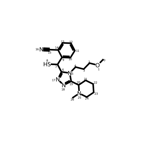 COCCCn1c(C(S)c2ccccc2C#N)nnc1C1CCCCN1C